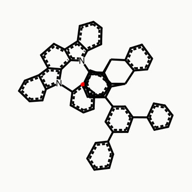 c1ccc(-c2cc(-c3ccccc3)cc(-c3ccc(-n4c5ccccc5c5ccc6c7ccccc7n(-c7ccccc7)c6c54)c4c3C3c5ccccc5C4c4ccccc43)c2)cc1